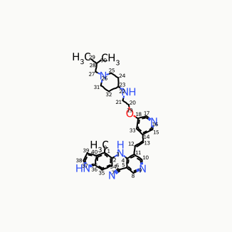 Cc1c(Nc2c(C#N)cncc2C=Cc2cncc(OCCNC3CCN(CC(C)C)CC3)c2)ccc2[nH]ccc12